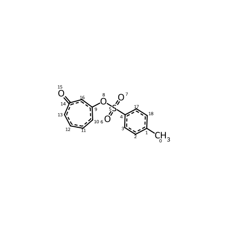 Cc1ccc(S(=O)(=O)Oc2ccccc(=O)c2)cc1